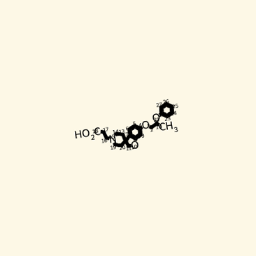 CC(COc1ccc2c(c1)OCC21CCN(CCC(=O)O)CC1)Oc1ccccc1